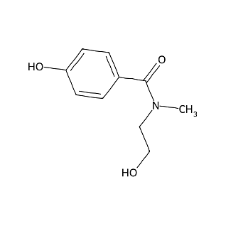 CN(CCO)C(=O)c1ccc(O)cc1